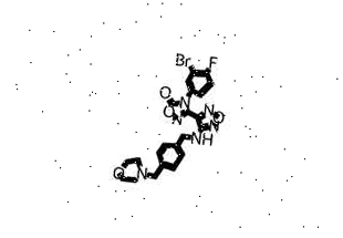 O=c1onc(-c2nonc2NCc2ccc(CN3CCOCC3)cc2)n1-c1ccc(F)c(Br)c1